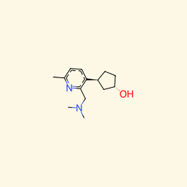 Cc1ccc([C@H]2CC[C@H](O)C2)c(CN(C)C)n1